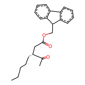 CCCCC[C@H](CC(=O)OCC1c2ccccc2-c2ccccc21)C(C)=O